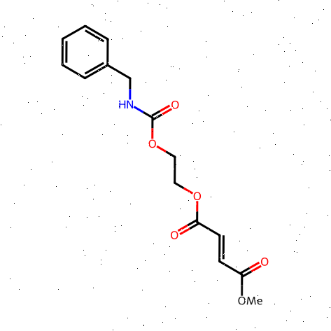 COC(=O)/C=C/C(=O)OCCOC(=O)NCc1ccccc1